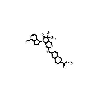 CC(C)(C)OC(=O)N1CCc2cc(Nc3ncc4c(n3)N(C3CCc5c(O)cccc53)C(=O)C4(C)C)ccc2C1